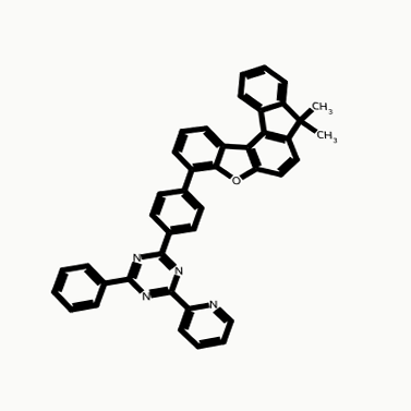 CC1(C)c2ccccc2-c2c1ccc1oc3c(-c4ccc(-c5nc(-c6ccccc6)nc(-c6ccccn6)n5)cc4)cccc3c21